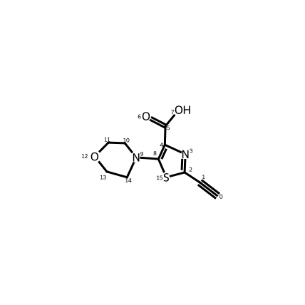 C#Cc1nc(C(=O)O)c(N2CCOCC2)s1